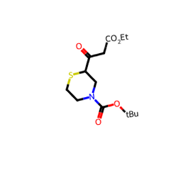 CCOC(=O)CC(=O)C1CN(C(=O)OC(C)(C)C)CCS1